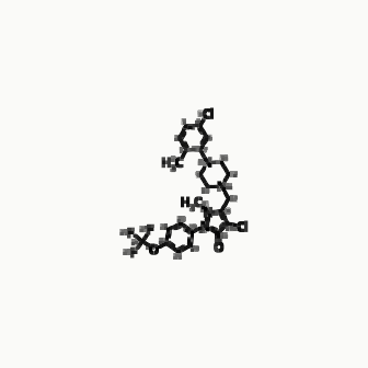 Cc1ccc(Cl)cc1N1CCN(Cc2c(Cl)c(=O)n(-c3ccc(OC(F)(F)F)cc3)n2C)CC1